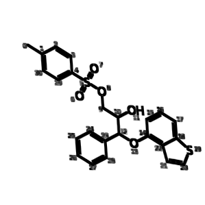 Cc1ccc(S(=O)(=O)OCC(O)C(Oc2cccc3sccc23)c2ccccc2)cc1